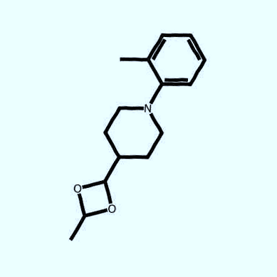 Cc1ccccc1N1CCC(C2OC(C)O2)CC1